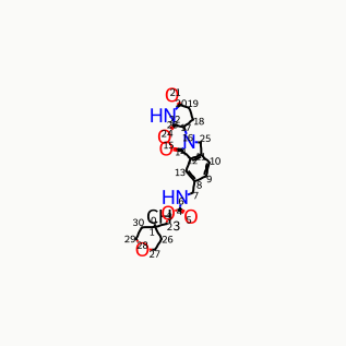 CC1(COC(=O)NCc2ccc3c(c2)C(=O)N(C2CCC(=O)NC2=O)C3)CCOCC1